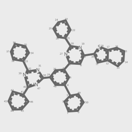 c1ccc(-c2cc(-c3cc(-c4cc5ccccc5s4)nc(-c4ccccc4)n3)cc(-c3nc(-c4ccccc4)nc(-c4ccccc4)n3)c2)cc1